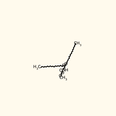 CCCCCCCCCCCCCCCCCCOCC(CCNC(=O)OCCOC)OCCCCCCCCCCCCCCCCCC